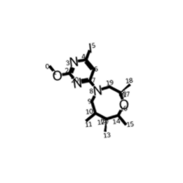 COc1nc(I)cc(N2CC(C)[C@H](C)C(C)O[C@H](C)C2)n1